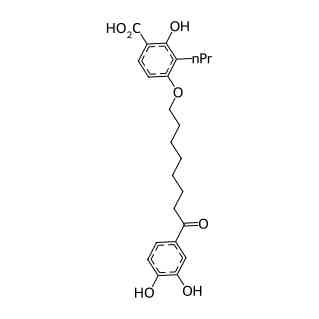 CCCc1c(OCCCCCCCC(=O)c2ccc(O)c(O)c2)ccc(C(=O)O)c1O